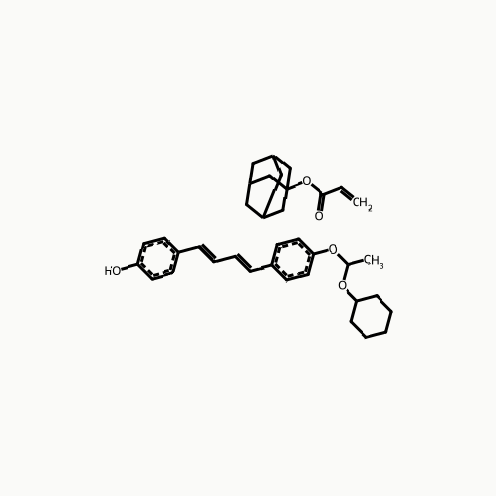 C=CC(=O)OC12CC3CC(CC(C3)C1)C2.CC(Oc1ccc(C=CC=Cc2ccc(O)cc2)cc1)OC1CCCCC1